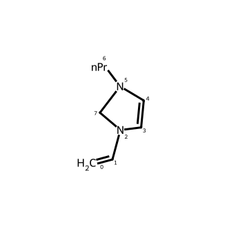 C=CN1C=CN(CCC)C1